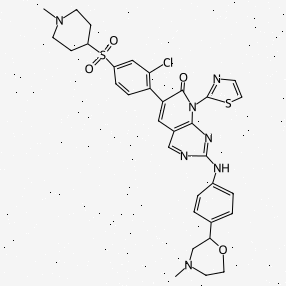 CN1CCC(S(=O)(=O)c2ccc(-c3cc4cnc(Nc5ccc(C6CN(C)CCO6)cc5)nc4n(-c4nccs4)c3=O)c(Cl)c2)CC1